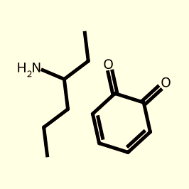 CCCC(N)CC.O=C1C=CC=CC1=O